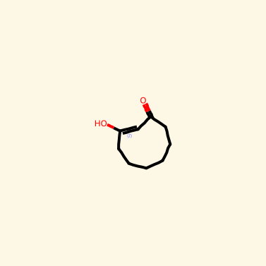 O=C1/C=C(\O)CCCCCC1